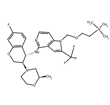 C[C@@H]1CN([C@H]2COc3cc(F)ccc3[C@@H]2Nc2nccc3c2cc(C(F)(F)F)n3COCC[Si](C)(C)C)CCO1